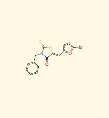 O=C1C(=Cc2ccc(Br)o2)SC(=S)N1Cc1ccccc1